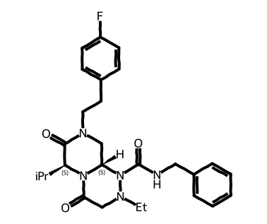 CCN1CC(=O)N2[C@@H](C(C)C)C(=O)N(CCc3ccc(F)cc3)C[C@@H]2N1C(=O)NCc1ccccc1